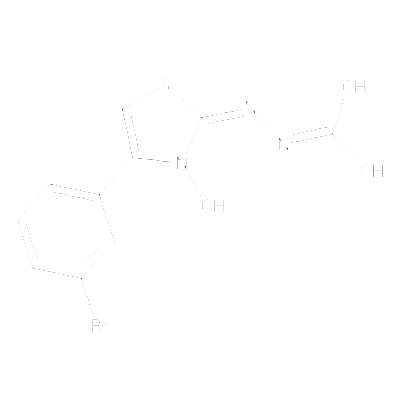 CC(C)=NN=c1scc(-c2cccc(Br)c2)n1C